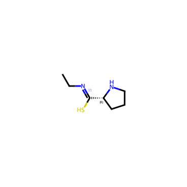 CC/N=C(\S)[C@H]1CCCN1